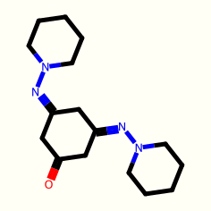 O=C1CC(=NN2CCCCC2)CC(=NN2CCCCC2)C1